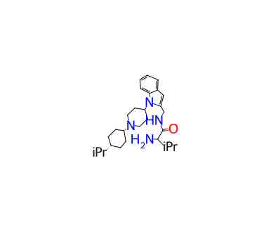 CC(C)C(N)C(=O)NCc1cc2ccccc2n1C1CCN([C@H]2CC[C@@H](C(C)C)CC2)CC1